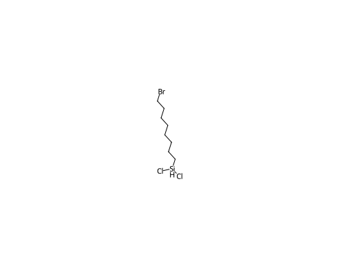 Cl[SiH](Cl)CCCCCCCCBr